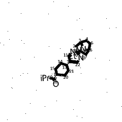 CCN1CC2CCC(C1)N2c1ncc([C@H]2CC[C@@H](C(=O)C(C)C)CC2)cn1